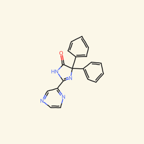 O=C1NC(c2cnccn2)=NC1(c1ccccc1)c1ccccc1